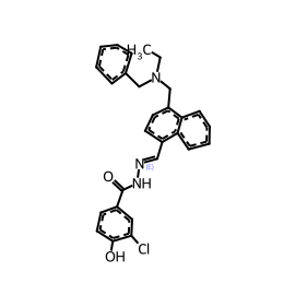 CCN(Cc1ccccc1)Cc1ccc(/C=N/NC(=O)c2ccc(O)c(Cl)c2)c2ccccc12